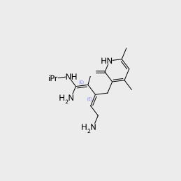 C=C1NC(C)=CC(C)=C1CC(=C\CN)/C(C)=C(\N)NC(C)C